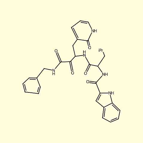 CC(C)CC(NC(=O)c1cc2ccccc2[nH]1)C(=O)NC(Cc1ccc[nH]c1=O)C(=O)C(=O)NCc1ccccc1